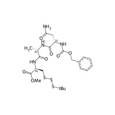 COC(=O)[C@H](CSSSC(C)(C)C)NC(=O)[C@H](C)NC(=O)[C@H](CC(N)=O)NC(=O)OCc1ccccc1